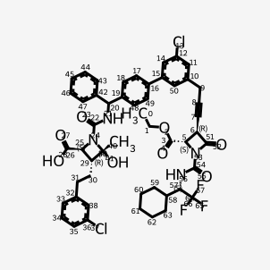 CCOC(=O)[C@@H]1[C@@H](C#CCc2cc(Cl)cc(-c3ccc(C(NC(=O)N4[C@H](C(=O)O)[C@@H](CCc5cccc(Cl)c5)[C@@]4(C)O)c4ccccc4)cc3)c2)C(=O)N1C(=O)N[C@@H](C1CCCCC1)C(F)(F)F